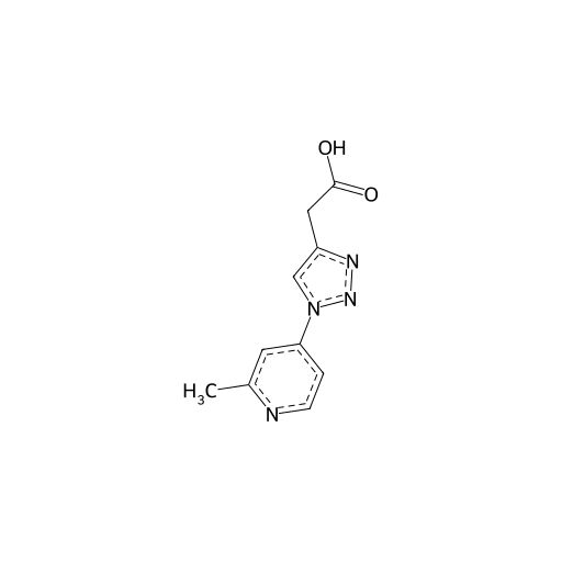 Cc1cc(-n2cc(CC(=O)O)nn2)ccn1